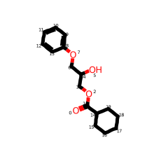 O=C(OCC(O)COc1ccccc1)C1CCCCC1